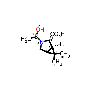 CB(O)N1CC2[C@@H]([C@H]1C(=O)O)C2(C)C